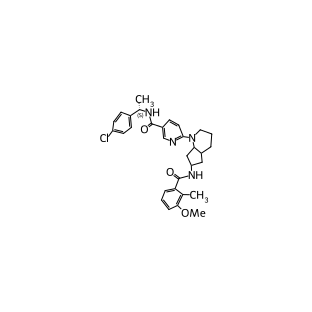 COc1cccc(C(=O)NC2CC3CCCN(c4ccc(C(=O)N[C@@H](C)c5ccc(Cl)cc5)cn4)C3C2)c1C